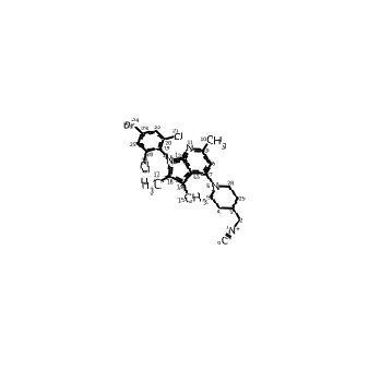 [C-]#[N+]CC1CCN(c2cc(C)nc3c2c(C)c(C)n3-c2c(Cl)cc(Br)cc2Cl)CC1